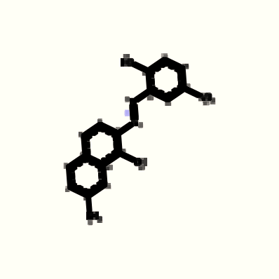 Nc1ccc2ccc(/N=N/c3cc([N+](=O)[O-])ccc3O)c(O)c2c1